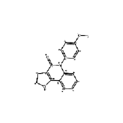 COc1ccc(-n2c(=O)c3c(c4ncccc42)OCC3)cc1